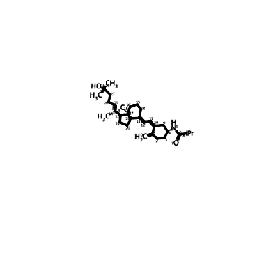 C=C1CC[C@@H](NC(=O)C(C)C)C/C1=C/C=C1\CCC[C@@]2(C)C1CCC2[C@H](C)CCCC(C)(C)O